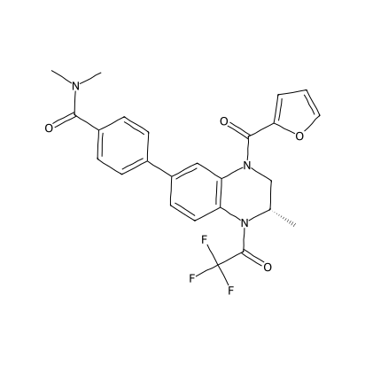 C[C@H]1CN(C(=O)c2ccco2)c2cc(-c3ccc(C(=O)N(C)C)cc3)ccc2N1C(=O)C(F)(F)F